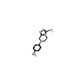 O=[N+]([O-])c1ccc(N2CCn3c(nnc3C(F)(F)F)C2)cc1